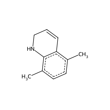 Cc1ccc(C)c2c1C=CCN2